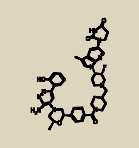 Cc1cn([C@H]2CCN(CC3CCN(C(=O)c4ccc([C@@H]5CN(c6cc(-c7ccccc7O)nnc6N)C[C@H](C)O5)cc4)CC3)C[C@@H]2F)c2ncc(N3CCC(=O)NC3=O)cc12